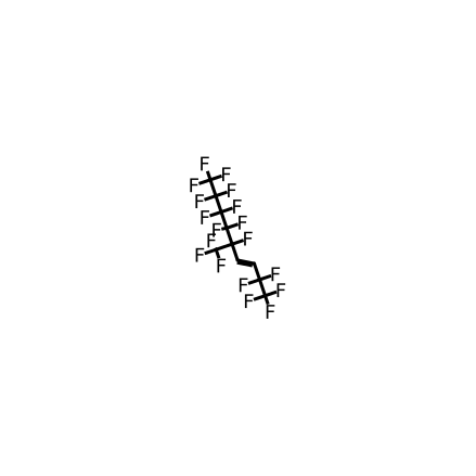 FC(F)(F)C(F)(F)C=CC(F)(C(F)(F)F)C(F)(F)C(F)(F)C(F)(F)C(F)(F)F